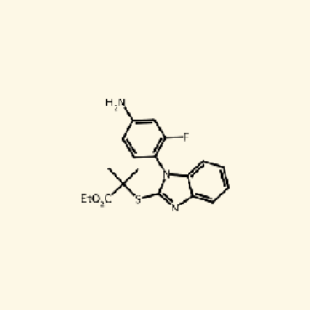 CCOC(=O)C(C)(C)Sc1nc2ccccc2n1-c1ccc(N)cc1F